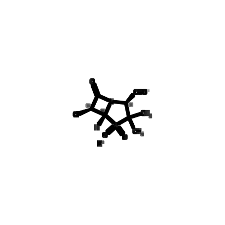 CC1(C)[C@H](C(=O)[O-])N2C(=O)[C@H](Cl)[C@H]2S1(=O)=O.[K+]